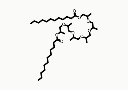 CCCCCCCCCCCC(=O)OCC(C)OCC(C)OCC(C)OCC(C)OCC(C)OCC(C)OC(=O)CCCCCCCCCCC